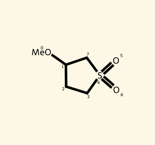 COC1CCS(=O)(=O)C1